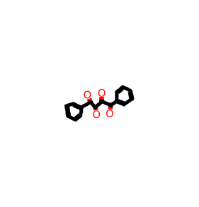 O=C(C(=O)C(=O)c1ccccc1)C(=O)c1ccccc1